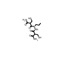 CCCN(NC(=O)C(CS)C(N)=O)C(=O)C(CS)C(N)=O